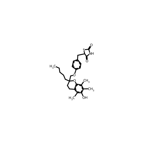 CCCCCC1(COc2ccc(CC3SC(=O)NC3=O)cc2)CCc2c(C)c(O)c(C)c(C)c2O1